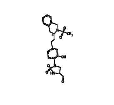 CS(=O)(=O)N1Cc2ccccc2C[C@H]1CCc1ccc(N2CC(C=O)NS2(=O)=O)c(O)c1